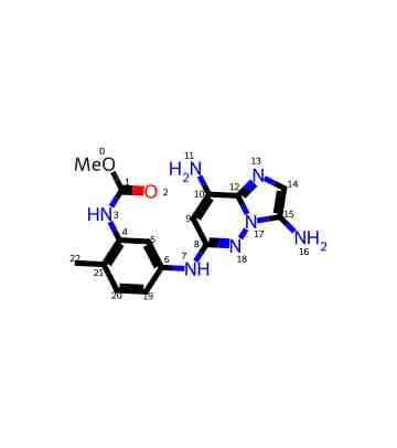 COC(=O)Nc1cc(Nc2cc(N)c3ncc(N)n3n2)ccc1C